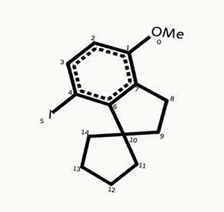 COc1ccc(I)c2c1CCC21CCCC1